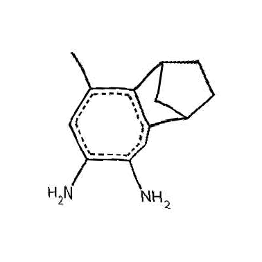 Cc1cc(N)c(N)c2c1C1CCC2C1